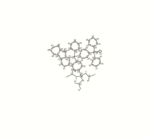 CC(C)C[Si](CC(C)C)(CC(C)C)c1ccc(C2(c3ccc(P(=O)(c4ccccc4)c4ccccc4)cc3)c3ccccc3-n3c4ccccc4c4cccc2c43)cc1